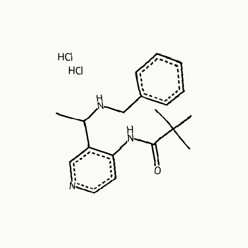 CC(NCc1ccccc1)c1cnccc1NC(=O)C(C)(C)C.Cl.Cl